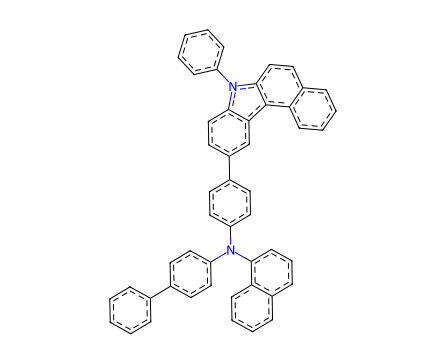 c1ccc(-c2ccc(N(c3ccc(-c4ccc5c(c4)c4c6ccccc6ccc4n5-c4ccccc4)cc3)c3cccc4ccccc34)cc2)cc1